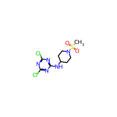 CS(=O)(=O)N1CCC(Nc2nc(Cl)nc(Cl)n2)CC1